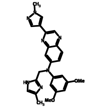 COc1cc(OC)cc(N(Cc2nc(C)c[nH]2)c2ccc3ncc(-c4cnn(C)c4)nc3c2)c1